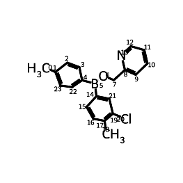 Cc1ccc(B(OCc2ccccn2)c2ccc(C)c(Cl)c2)cc1